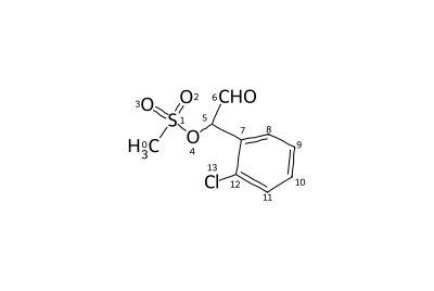 CS(=O)(=O)OC(C=O)c1ccccc1Cl